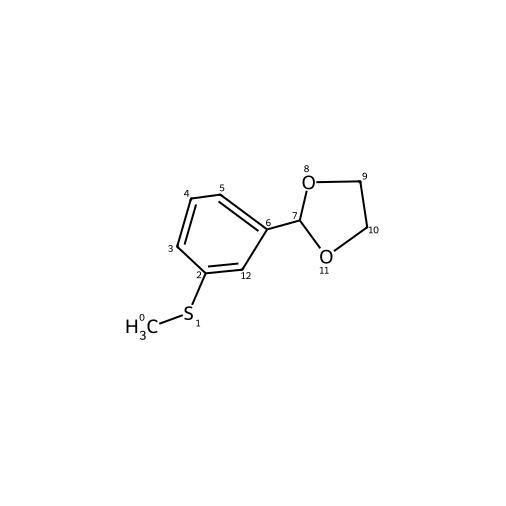 CSc1cccc(C2OCCO2)c1